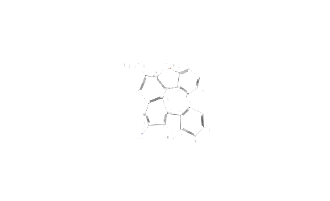 Cc1cc2cc(I)c3sc4ccccc4c3c2c2c1sc1ccccc12